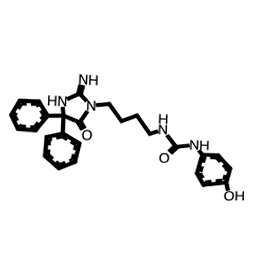 N=C1NC(c2ccccc2)(c2ccccc2)C(=O)N1CCCCNC(=O)Nc1ccc(O)cc1